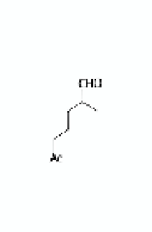 CC(=O)CCCC(C)C=O